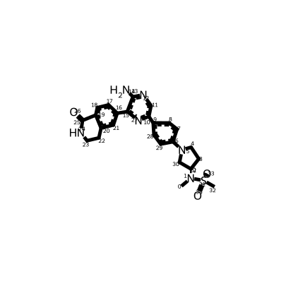 CN([C@H]1CCN(c2ccc(-c3cnc(N)c(-c4ccc5c(c4)CCNC5=O)n3)cc2)C1)S(C)(=O)=O